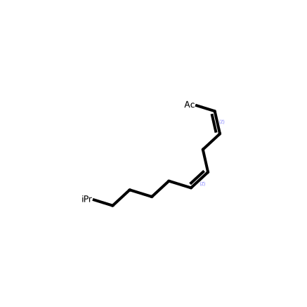 CC(=O)/C=C\C/C=C\CCCCC(C)C